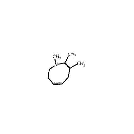 CC1C/C=C\CCN(C)C1C